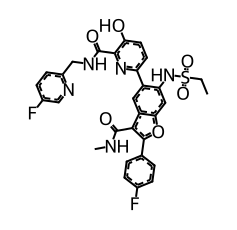 CCS(=O)(=O)Nc1cc2oc(-c3ccc(F)cc3)c(C(=O)NC)c2cc1-c1ccc(O)c(C(=O)NCc2ccc(F)cn2)n1